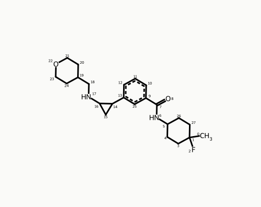 CC1(F)CCC(NC(=O)c2cccc(C3CC3NCC3CCOCC3)c2)CC1